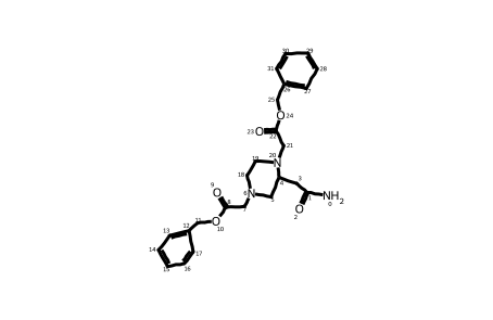 NC(=O)CC1CN(CC(=O)OCc2ccccc2)CCN1CC(=O)OCc1ccccc1